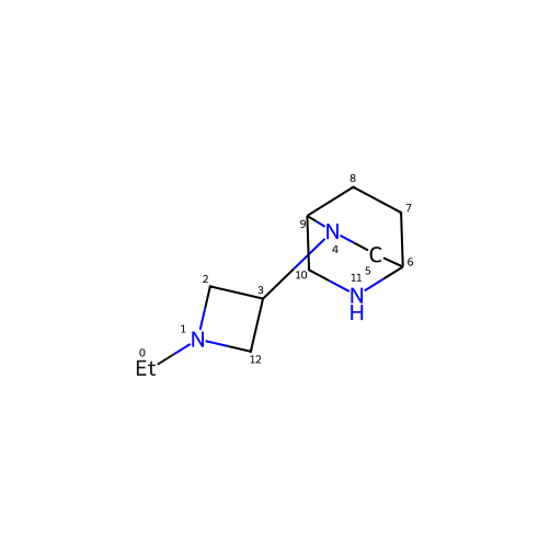 CCN1CC(N2CC3CCC2CN3)C1